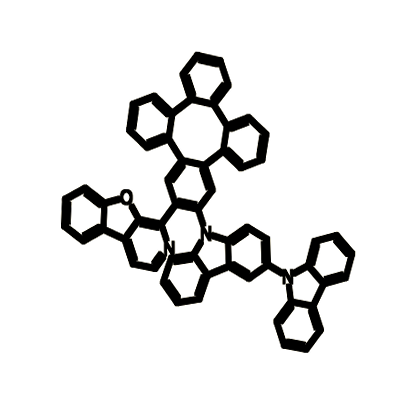 c1ccc2c(c1)-c1ccccc1-c1cc(-c3nccc4c3oc3ccccc34)c(-n3c4ccccc4c4cc(-n5c6ccccc6c6ccccc65)ccc43)cc1-c1ccccc1-2